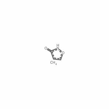 C.O=c1cco[nH]1